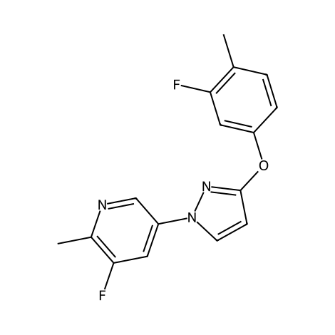 Cc1ccc(Oc2ccn(-c3cnc(C)c(F)c3)n2)cc1F